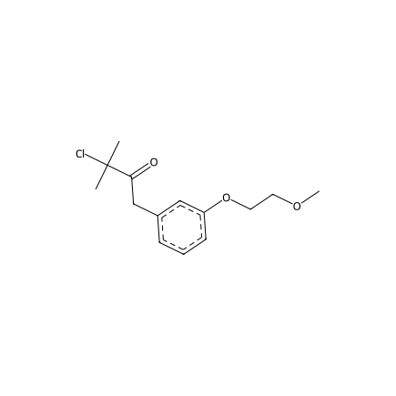 COCCOc1cccc(CC(=O)C(C)(C)Cl)c1